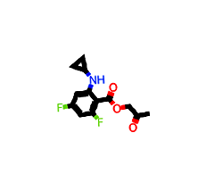 CC(=O)COC(=O)c1c(F)cc(F)cc1NC1CC1